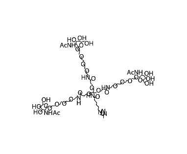 CC(=O)NC1C(OCCOCCOCCOCCNC(=O)CCOCC(COCCC(=O)NCCOCCOCCOCCOC2OC(CO)C(O)C(O)C2NC(C)=O)(COCCC(=O)NCCOCCOCCOCCOC2OC(CO)C(O)C(O)C2NC(C)=O)NC(=O)CCCCCn2cc(C)nn2)OC(CO)C(O)C1O